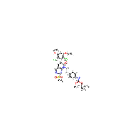 COc1cc(OC)c(Cl)c(-c2cc3cnc(S(C)(=O)=O)nc3n(CCc3ccc(NC(=O)OC(C)(C)C)cc3)c2=O)c1Cl